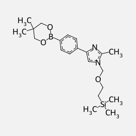 Cc1nc(-c2ccc(B3OCC(C)(C)CO3)cc2)cn1COCC[Si](C)(C)C